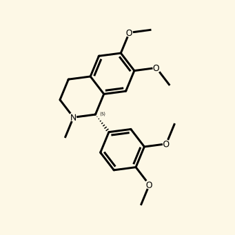 COc1ccc([C@H]2c3cc(OC)c(OC)cc3CCN2C)cc1OC